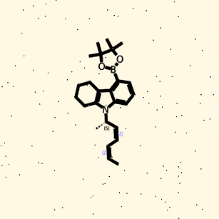 C/C=C\C=C/[C@H](C)n1c2c(c3c(B4OC(C)(C)C(C)(C)O4)cccc31)CCCC2